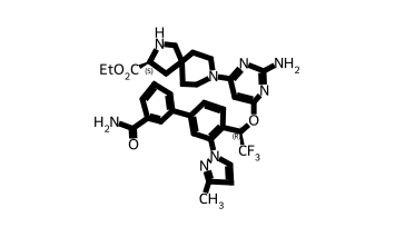 CCOC(=O)[C@@H]1CC2(CCN(c3cc(O[C@H](c4ccc(-c5cccc(C(N)=O)c5)cc4-n4ccc(C)n4)C(F)(F)F)nc(N)n3)CC2)CN1